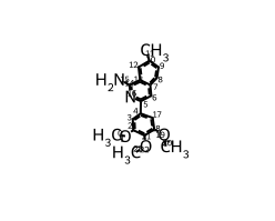 COc1cc(-c2cc3ccc(C)cc3c(N)n2)cc(OC)c1OC